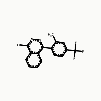 Cc1cc(C(F)(F)F)ccc1-c1nnc(Cl)c2ccccc12